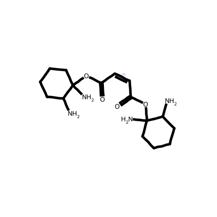 NC1CCCCC1(N)OC(=O)/C=C\C(=O)OC1(N)CCCCC1N